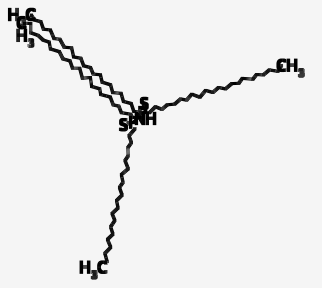 CCCCCCCCCCCCCCCCCCCCCCP(=S)(CCCCCCCCCCCCCCCCCCCCCC)NP(=S)(CCCCCCCCCCCCCCCCCCCCCC)CCCCCCCCCCCCCCCCCCCCCC